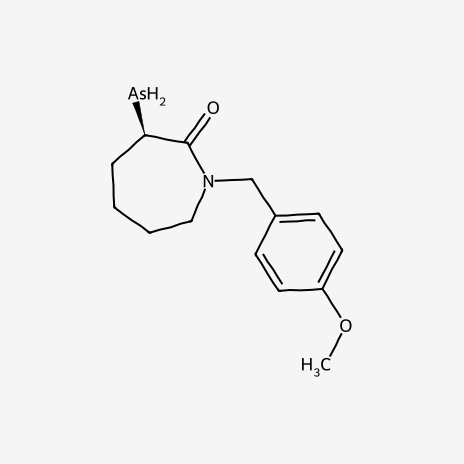 COc1ccc(CN2CCCC[C@@H]([AsH2])C2=O)cc1